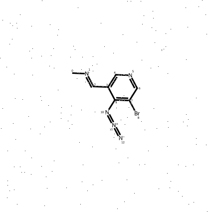 CN=Cc1cncc(Br)c1N=[N+]=[N-]